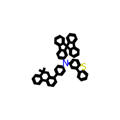 CC1(C)Cc2c(-c3ccc(N(c4ccc5c(c4)C4(c6ccccc6-c6ccccc64)c4ccccc4-5)c4ccc5sc6ccccc6c5c4)cc3)cccc2-c2ccccc21